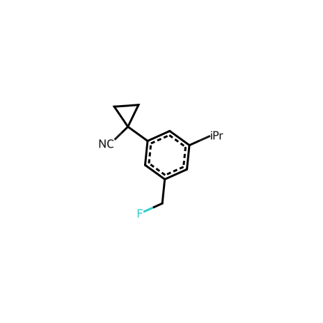 CC(C)c1cc(CF)cc(C2(C#N)CC2)c1